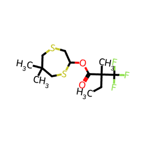 CCC(C)(C(=O)OC1CSCC(C)(C)CS1)C(F)(F)F